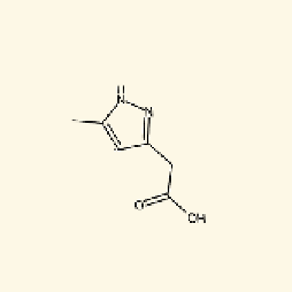 Cc1[c]c(CC(=O)O)n[nH]1